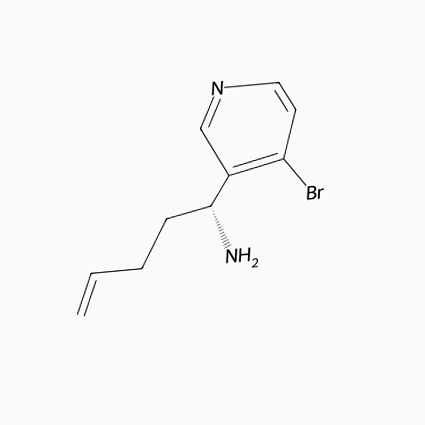 C=CCC[C@@H](N)c1cnccc1Br